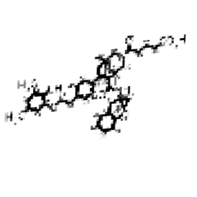 Cc1cc(C)c(C)c(OCCc2ccc(C3=C(C(=O)NC4(Cc5ccccc5Cl)CC4)[C@H]4CN(C(=O)CCCC(=O)O)C[C@@H](C3)N4)cc2)c1